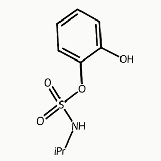 CC(C)NS(=O)(=O)Oc1ccccc1O